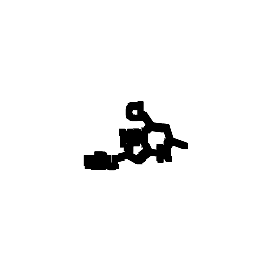 CCCCc1cc2nc(C)cc(Cl)n2n1